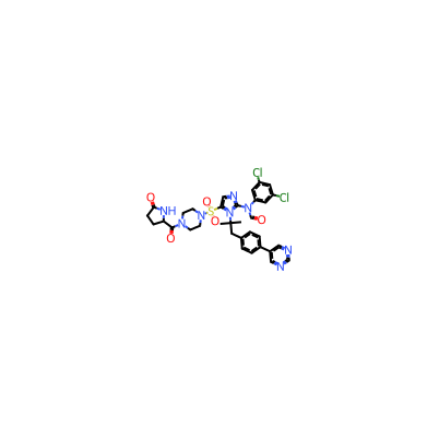 CC(C)(Cc1ccc(-c2cncnc2)cc1)n1c(S(=O)(=O)N2CCN(C(=O)C3CCC(=O)N3)CC2)cnc1N(C=O)c1cc(Cl)cc(Cl)c1